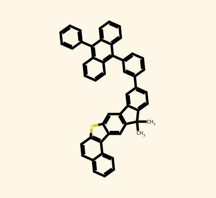 CC1(C)c2ccc(-c3cccc(-c4c5ccccc5c(-c5ccccc5)c5ccccc45)c3)cc2-c2cc3sc4ccc5ccccc5c4c3cc21